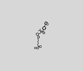 CC(C)N(CC1CCCC1OCCCCCC(=O)O)C(=O)c1ccc(-c2ccco2)cc1